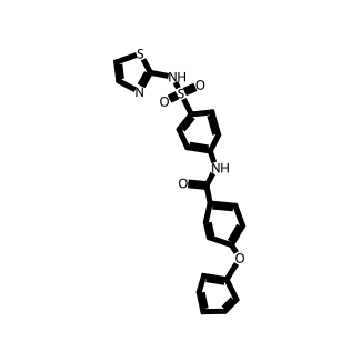 O=C(Nc1ccc(S(=O)(=O)Nc2nccs2)cc1)c1ccc(Oc2ccccc2)cc1